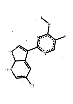 Fc1cnc(C2=CNC3NC=C(Cl)C=C23)nc1NI